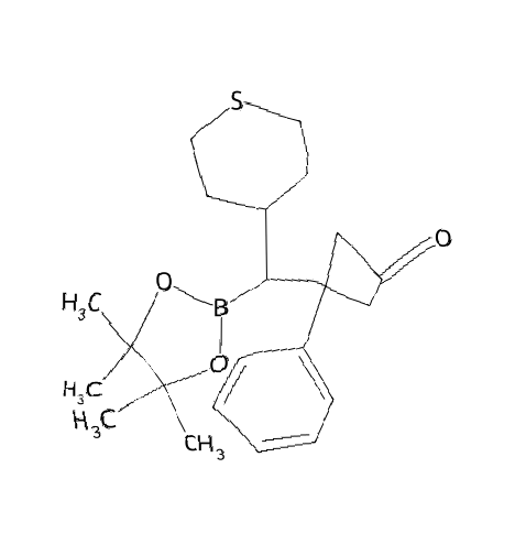 CC1(C)OB(C(C2CCSCC2)C2(c3ccccc3)CC(=O)C2)OC1(C)C